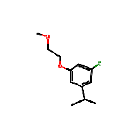 COCCOc1cc(Cl)cc(C(C)C)c1